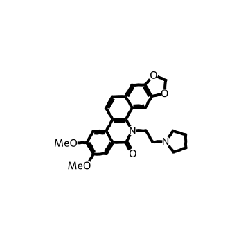 COc1cc2c(=O)n(CCN3CCCC3)c3c4cc5c(cc4ccc3c2cc1OC)OCO5